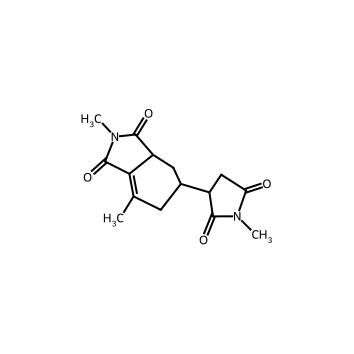 CC1=C2C(=O)N(C)C(=O)C2CC(C2CC(=O)N(C)C2=O)C1